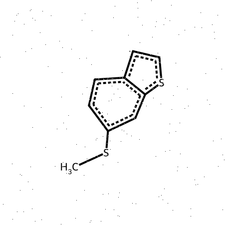 CSc1ccc2[c]csc2c1